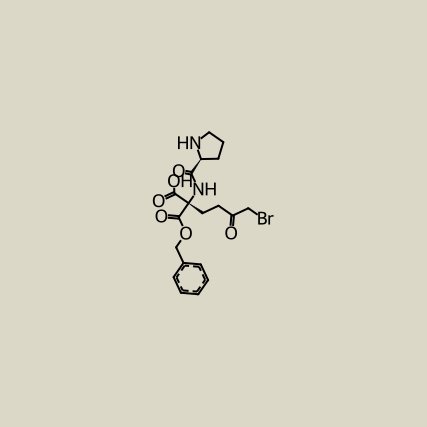 O=C(CBr)CC[C@](NC(=O)[C@@H]1CCCN1)(C(=O)O)C(=O)OCc1ccccc1